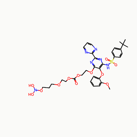 COc1ccccc1Oc1c(NS(=O)(=O)c2ccc(C(C)(C)C)cc2)nc(-c2ncccn2)nc1OCCOC(=O)OCCOCCCON(O)O